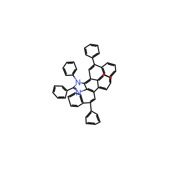 C(=C(c1ccccc1)c1ccccc1)c1c2ccccc2c(C=C(c2ccccc2)c2ccccc2)c2c1nc(-c1ccccc1)n2-c1ccccc1